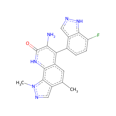 Cc1cc2c(-c3ccc(F)c4[nH]ncc34)c(N)c(=O)[nH]c2c2c1cnn2C